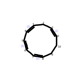 [C]1=C\C\C=C/C=C\C=C/CC/1